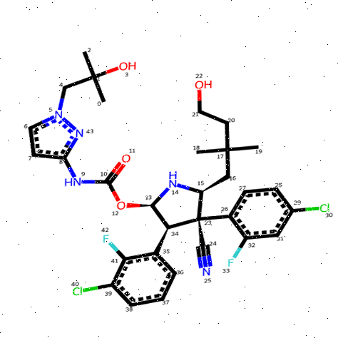 CC(C)(O)Cn1ccc(NC(=O)O[C@H]2N[C@@H](CC(C)(C)CCO)[C@](C#N)(c3ccc(Cl)cc3F)[C@H]2c2cccc(Cl)c2F)n1